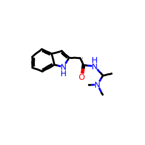 CC(NC(=O)[CH]c1cc2ccccc2[nH]1)N(C)C